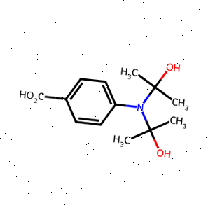 CC(C)(O)N(c1ccc(C(=O)O)cc1)C(C)(C)O